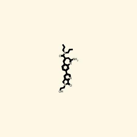 CCCN(CCC)C(=O)C1=Cc2ccc(-c3cnc4c(c3)CN(CCO)C4=O)cc2N=C(N)C1